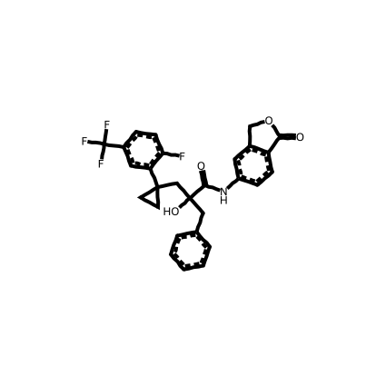 O=C1OCc2cc(NC(=O)C(O)(Cc3ccccc3)CC3(c4cc(C(F)(F)F)ccc4F)CC3)ccc21